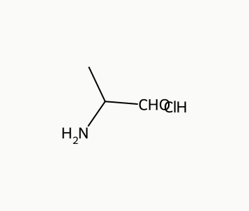 CC(N)C=O.Cl